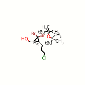 CC(C)(C)[Si](C)(C)O[Si](C)(C)C(C)(C)C.OC[C@H]1[C@@H](CCCCl)C1(Br)Br